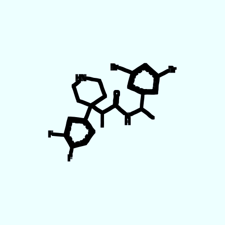 CC(NC(=O)C(C)C1(c2ccc(F)c(F)c2)CCNCC1)c1cc(Br)cc(Br)c1